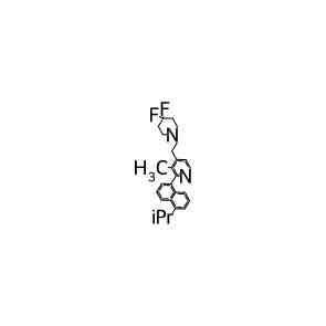 Cc1c(CCN2CCC(F)(F)CC2)ccnc1-c1cccc2c(C(C)C)cccc12